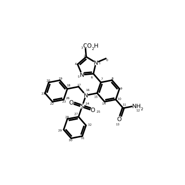 Cn1c(C(=O)O)cnc1-c1ccc(C(N)=O)cc1N(Cc1ccccc1)S(=O)(=O)c1ccccc1